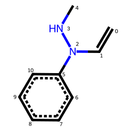 C=CN(NC)c1ccccc1